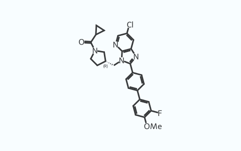 COc1ccc(-c2ccc(-c3nc4cc(Cl)cnc4n3C[C@@H]3CCN(C(=O)C4CC4)C3)cc2)cc1F